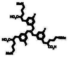 CNCCCC(Cc1cc(F)cc(CN(Cc2cc(F)cc(CC(CCCNC)C(=O)O)c2)Cc2cc(F)cc(CC(CCCNC)C(=O)O)c2)c1)C(=O)O